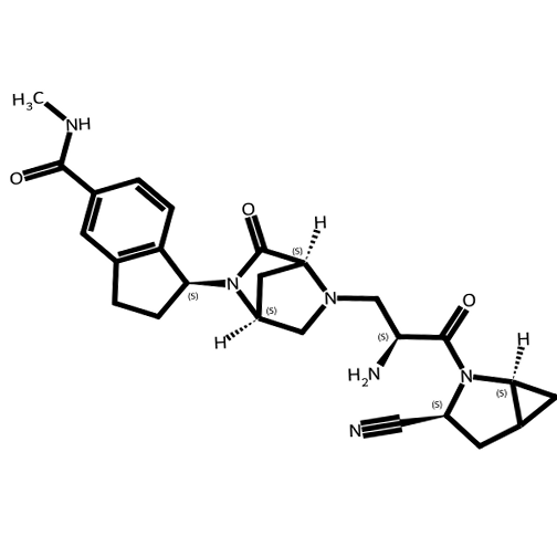 CNC(=O)c1ccc2c(c1)CC[C@@H]2N1C(=O)[C@@H]2C[C@H]1CN2C[C@H](N)C(=O)N1[C@H](C#N)CC2C[C@@H]21